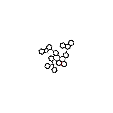 c1ccc(-c2ccc(-c3cc4ccccc4c4ccccc34)cc2N(c2ccc(-c3cccc4c3sc3ccccc34)cc2)c2cccc3c2-c2ccccc2C3(c2ccccc2)c2ccccc2)cc1